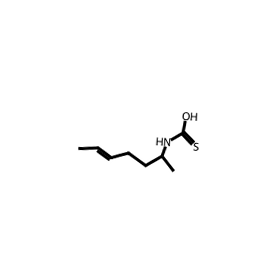 CC=CCCC(C)NC(O)=S